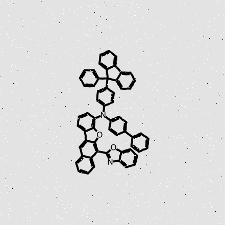 c1ccc(-c2ccc(N(c3ccc(C4(c5ccccc5)c5ccccc5-c5ccccc54)cc3)c3cccc4c3oc3c(-c5nc6ccccc6o5)c5ccccc5cc34)cc2)cc1